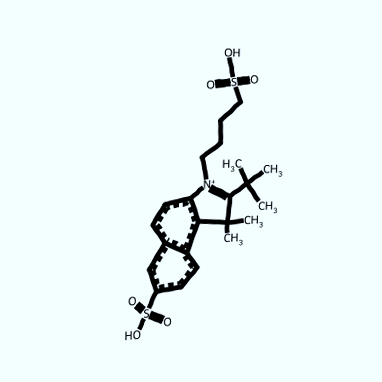 CC(C)(C)C1=[N+](CCCCS(=O)(=O)O)c2ccc3cc(S(=O)(=O)O)ccc3c2C1(C)C